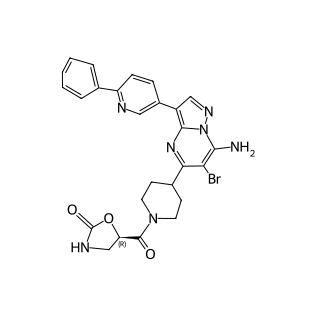 Nc1c(Br)c(C2CCN(C(=O)[C@H]3CNC(=O)O3)CC2)nc2c(-c3ccc(-c4ccccc4)nc3)cnn12